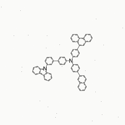 c1cc(-c2ccc(N(c3ccc(-c4ccc5ccccc5c4)cc3)c3ccc(-c4cc5ccccc5c5ccccc45)cc3)cc2)cc(-n2c3ccccc3c3ccccc32)c1